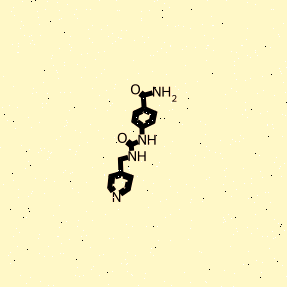 NC(=O)c1ccc(NC(=O)NCc2ccncc2)cc1